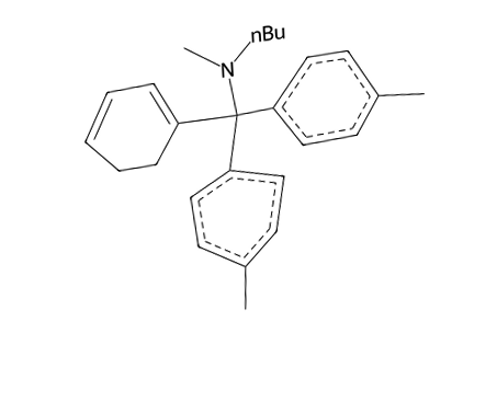 CCCCN(C)C(C1=CC=CCC1)(c1ccc(C)cc1)c1ccc(C)cc1